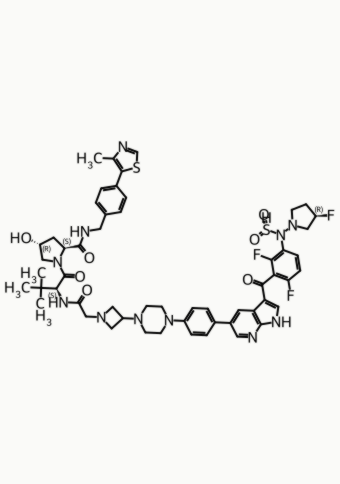 Cc1ncsc1-c1ccc(CNC(=O)[C@@H]2C[C@@H](O)CN2C(=O)[C@@H](NC(=O)CN2CC(N3CCN(c4ccc(-c5cnc6[nH]cc(C(=O)c7c(F)ccc(N(N8CC[C@@H](F)C8)[SH](=O)=O)c7F)c6c5)cc4)CC3)C2)C(C)(C)C)cc1